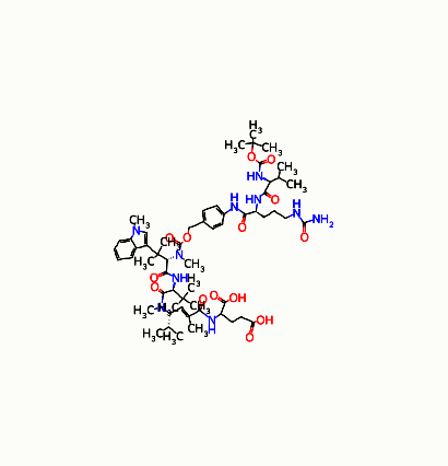 C/C(=C\[C@H](C(C)C)N(C)C(=O)[C@@H](NC(=O)[C@@H](N(C)C(=O)OCc1ccc(NC(=O)[C@H](CCCNC(N)=O)NC(=O)[C@@H](NC(=O)OC(C)(C)C)C(C)C)cc1)C(C)(C)c1cn(C)c2ccccc12)C(C)(C)C)C(=O)NC(CCC(=O)O)C(=O)O